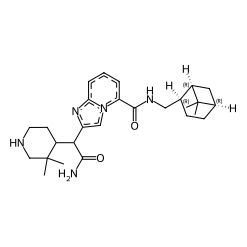 CC1(C)CNCCC1C(C(N)=O)c1cn2c(C(=O)NC[C@@H]3CC[C@@H]4C[C@H]3C4(C)C)cccc2n1